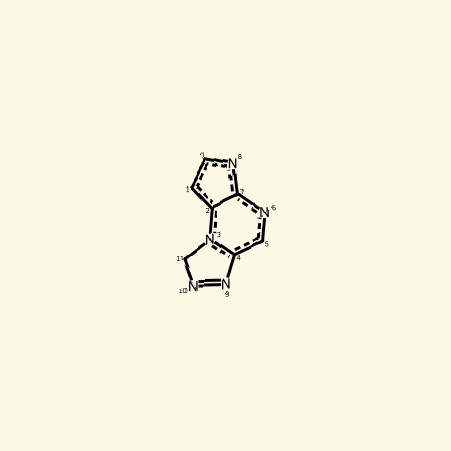 c1cc2n3c(cnc-2n1)N=NC3